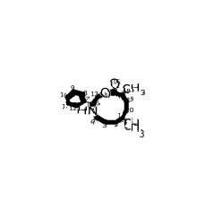 C[C@@H]1CCCN[C@H](c2ccccc2)COC(=O)[C@H](C)CC1